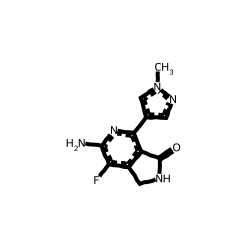 Cn1cc(-c2nc(N)c(F)c3c2C(=O)NC3)cn1